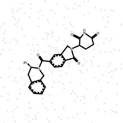 CC(C)[C@@H]1Cc2ccccc2CN1C(=O)c1ccc2c(c1)CN(C1CCC(=O)NC1=O)C2=O